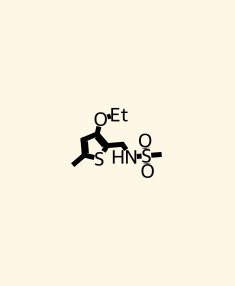 CCOc1cc(C)sc1CNS(C)(=O)=O